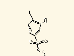 NS(=O)(=O)c1ccc(I)c(Cl)c1